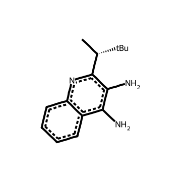 C[C@@H](c1nc2ccccc2c(N)c1N)C(C)(C)C